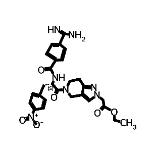 CCOC(=O)Cn1cc2c(n1)CCN(C(=O)[C@H](Cc1ccc([N+](=O)[O-])cc1)NC(=O)c1ccc(C(=N)N)cc1)C2